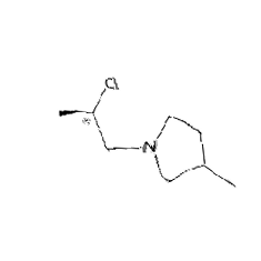 CC1CCN(C[C@@H](C)Cl)C1